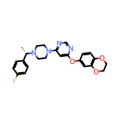 C[C@@H](c1ccc(F)cc1)N1CCN(c2cc(Oc3ccc4c(c3)OCCO4)ncn2)CC1